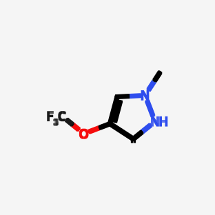 CN1C=C(OC(F)(F)F)[C]N1